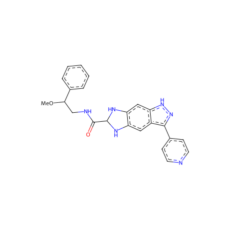 COC(CNC(=O)C1Nc2cc3[nH]nc(-c4ccncc4)c3cc2N1)c1ccccc1